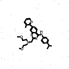 COCCN(CCOC)Cc1nc(Nc2ccc(C(C)C)cc2)c2ccc(-c3ncccc3C)cc2n1